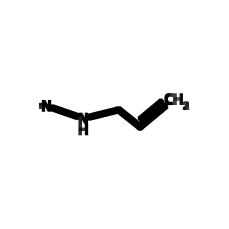 C=CCN[N]